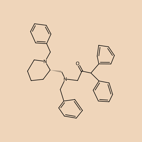 O=C(CN(Cc1ccccc1)C[C@@H]1CCCCN1Cc1ccccc1)C(c1ccccc1)c1ccccc1